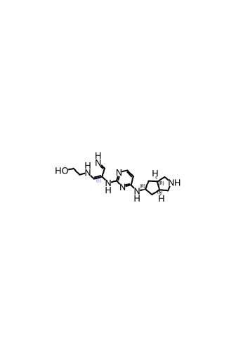 N=C/C(=C\NCCO)Nc1nccc(N[C@H]2C[C@H]3CNC[C@H]3C2)n1